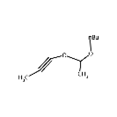 CC#COC(C)OCCCC